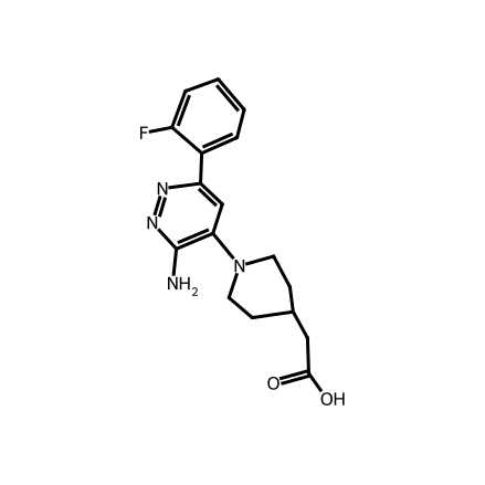 Nc1nnc(-c2ccccc2F)cc1N1CCC(CC(=O)O)CC1